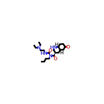 CCCCN(C(=O)NCCN(CC)CC)C(=O)[C@H]1CN[C@@H]2CCC(=O)C[C@H]2C1